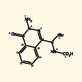 CC(C)(C)C(NC(=O)O)c1nn(N)c(=O)c2ccccc12